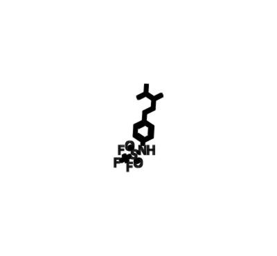 CC(C)C(C)CCc1ccc(NS(=O)(=O)C(F)(F)F)cc1